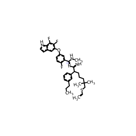 C=CSCC(C)(C)CCCC(C(=N)/N=C(\NC)c1cc(Oc2cc3cc[nH]c3c(F)c2F)ccc1F)c1cccc(CCC)c1